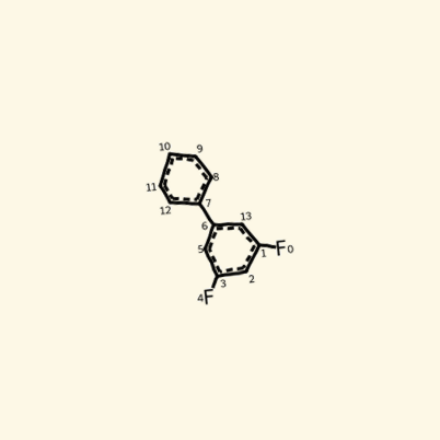 Fc1cc(F)cc(-c2cc[c]cc2)c1